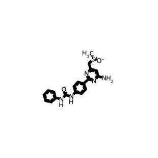 C[S+]([O-])Cc1cc(N)nc(-c2ccc(NC(=O)Nc3ccccc3)cc2)n1